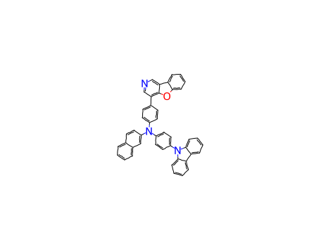 c1ccc2cc(N(c3ccc(-c4cncc5c4oc4ccccc45)cc3)c3ccc(-n4c5ccccc5c5ccccc54)cc3)ccc2c1